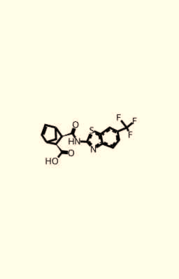 O=C(Nc1nc2ccc(C(F)(F)F)cc2s1)[C@@H]1C2C=CC(C2)[C@@H]1C(=O)O